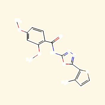 COc1ccc(C(=O)Nc2nnc(-c3sccc3C)o2)c(OC)c1